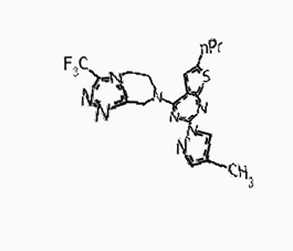 CCCc1cc2c(N3CCn4c(nnc4C(F)(F)F)C3)nc(-n3cc(C)cn3)nc2s1